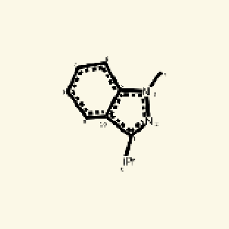 CC(C)c1nn(C)c2ccccc12